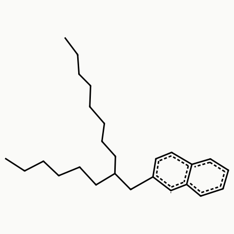 CCCCCCCCC(CCCCCC)Cc1[c]c2ccccc2cc1